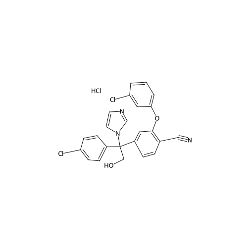 Cl.N#Cc1ccc(C(CO)(c2ccc(Cl)cc2)n2ccnc2)cc1Oc1cccc(Cl)c1